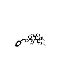 CC[C@@H](C)[C@H](NC(=O)OCc1ccccc1)C(C)=O